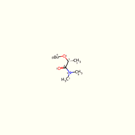 CCCCO[C@H](C)C(=O)N(C)C